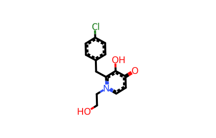 O=c1ccn(CCO)c(Cc2ccc(Cl)cc2)c1O